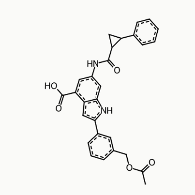 CC(=O)OCc1cccc(-c2cc3c(C(=O)O)cc(NC(=O)C4CC4c4ccccc4)cc3[nH]2)c1